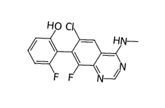 CNc1ncnc2c(F)c(-c3c(O)cccc3F)c(Cl)cc12